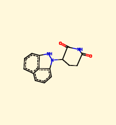 O=C1CCC(N2Nc3cccc4cccc2c34)C(=O)N1